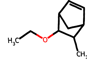 CCOC1C2C=CC(C2)C1C